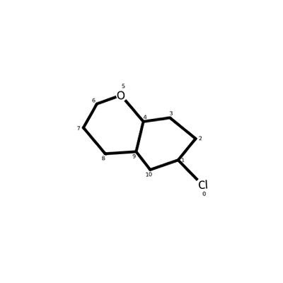 ClC1CCC2OCCCC2C1